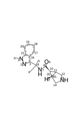 Cn1nc(C(C)(C)NC(=O)[C@H]2C3CNC[C@@H]32)c2ccccc21